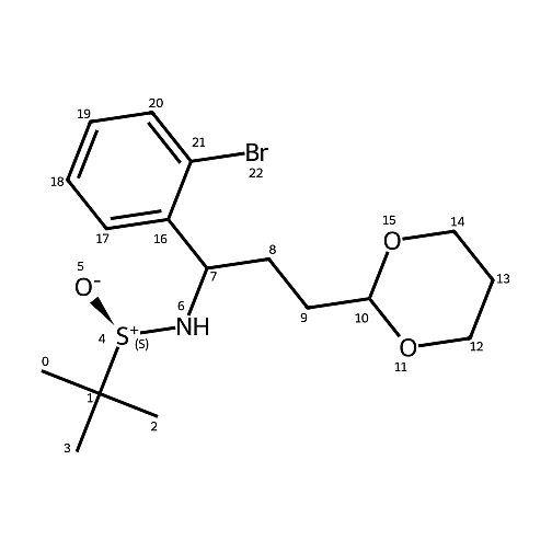 CC(C)(C)[S@@+]([O-])NC(CCC1OCCCO1)c1ccccc1Br